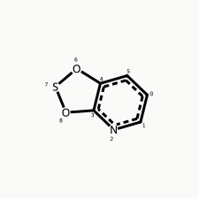 c1cnc2c(c1)OSO2